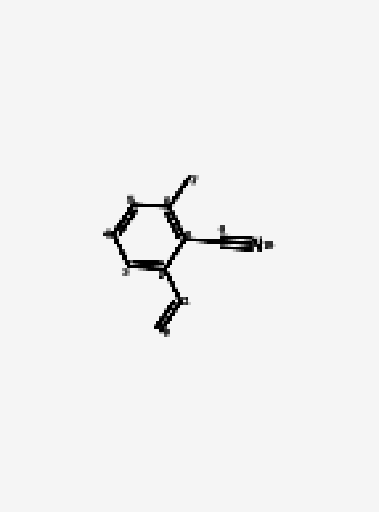 C=Cc1cccc(C)c1C#N